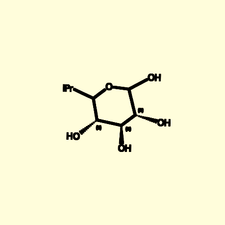 CC(C)C1OC(O)[C@H](O)[C@@H](O)[C@@H]1O